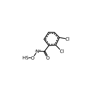 O=C([N+]OS)c1cccc(Cl)c1Cl